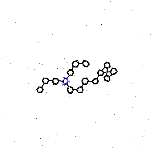 c1ccc(-c2cccc(-c3ccc(-c4nc(-c5ccc(-c6cccc(-c7ccccc7)c6)cc5)nc(-c5cccc(-c6cccc(-c7cccc(-c8cccc(-c9ccc%10c(c9)C9(c%11ccccc%11-c%11ccccc%119)c9ccccc9-%10)c8)c7)c6)c5)n4)cc3)c2)cc1